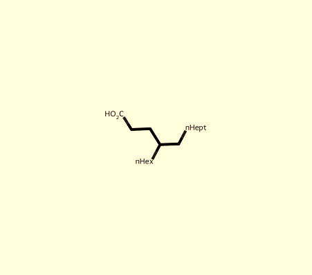 CCCCCCCCC(CCCCCC)CCC(=O)O